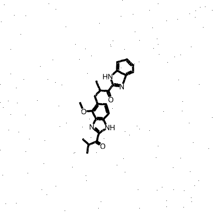 COc1c(CC(C)C(=O)c2nc3ccccc3[nH]2)ccc2[nH]c(C(=O)C(C)C)nc12